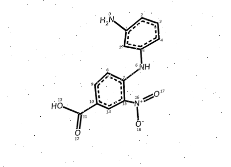 Nc1cccc(Nc2ccc(C(=O)O)cc2[N+](=O)[O-])c1